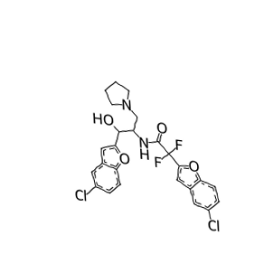 O=C(NC(CN1CCCC1)C(O)c1cc2cc(Cl)ccc2o1)C(F)(F)c1cc2cc(Cl)ccc2o1